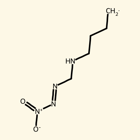 [CH2]CCCNCN=N[N+](=O)[O-]